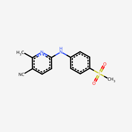 Cc1nc(Nc2ccc(S(C)(=O)=O)cc2)ccc1C#N